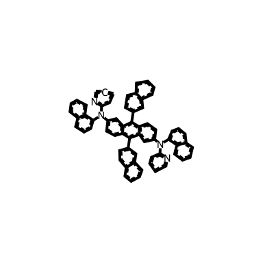 c1ccc(N(c2ccc3c(-c4ccc5ccccc5c4)c4cc(N(c5ccccn5)c5cccc6ccccc56)ccc4c(-c4ccc5ccccc5c4)c3c2)c2cccc3ccccc23)nc1